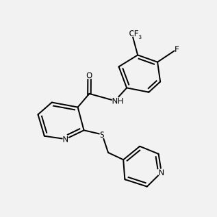 O=C(Nc1ccc(F)c(C(F)(F)F)c1)c1cccnc1SCc1ccncc1